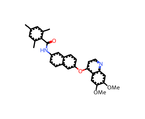 COc1cc2nccc(Oc3ccc4cc(NC(=O)c5c(C)cc(C)cc5C)ccc4c3)c2cc1OC